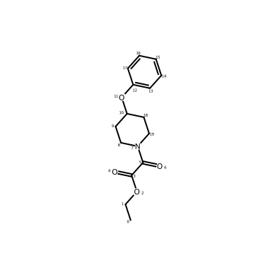 CCOC(=O)C(=O)N1CCC(Oc2ccccc2)CC1